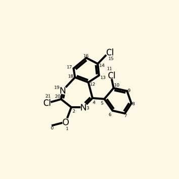 COC1N=C(c2ccccc2Cl)c2cc(Cl)ccc2N=C1Cl